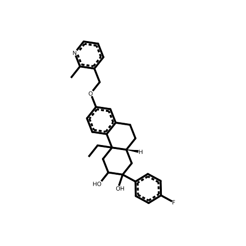 CCC12CC(O)C(O)(c3ccc(F)cc3)C[C@H]1CCc1cc(OCc3cccnc3C)ccc12